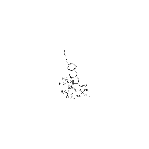 CC(C)(C)OC(=O)N[C@@H](C[C@H](Cc1ccc(CCCF)cn1)C(=O)OC(C)(C)C)C(=O)OC(C)(C)C